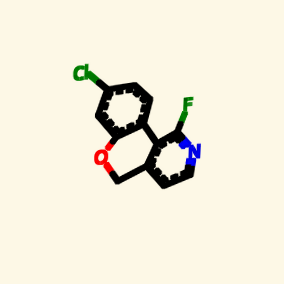 Fc1nccc2c1-c1ccc(Cl)cc1OC2